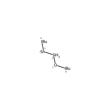 CCC(C)O[SiH2][Sn][C](C)(C)C